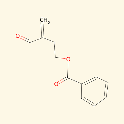 C=C(C=O)CCOC(=O)c1ccccc1